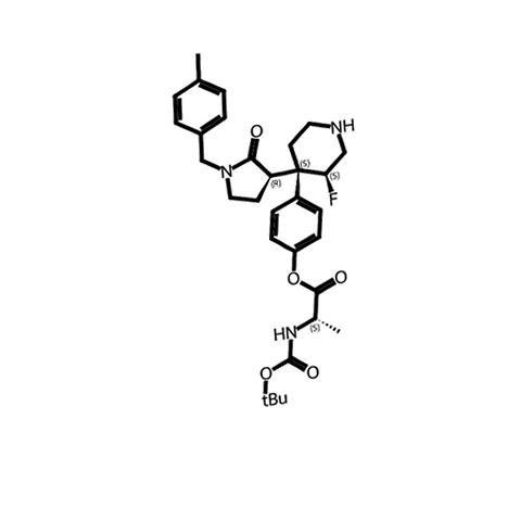 Cc1ccc(CN2CC[C@H]([C@]3(c4ccc(OC(=O)[C@H](C)NC(=O)OC(C)(C)C)cc4)CCNC[C@H]3F)C2=O)cc1